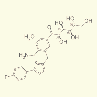 NCc1ccc(C(=O)[C@H](O)[C@@H](O)[C@H](O)[C@H](O)CO)cc1Cc1ccc(-c2ccc(F)cc2)s1.O